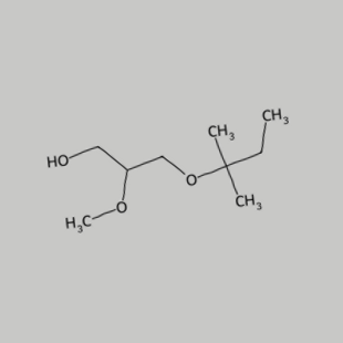 CCC(C)(C)OCC(CO)OC